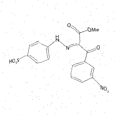 COC(=O)/C(=N\Nc1ccc(S(=O)(=O)O)cc1)C(=O)c1cccc([N+](=O)[O-])c1